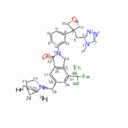 Cn1cnnc1CC1(c2cccc(N3Cc4c(cc(CN5CC[C@@H]6C[C@@H]65)cc4C(F)(F)F)C3=O)c2)COC1